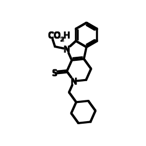 O=C(O)Cn1c2c(c3ccccc31)CCN(CC1CCCCC1)C2=S